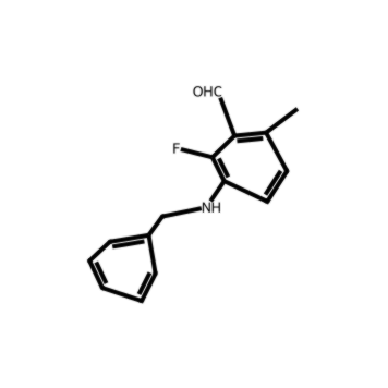 Cc1ccc(NCc2ccccc2)c(F)c1C=O